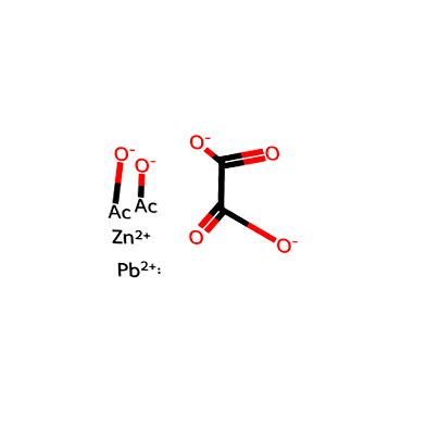 CC(=O)[O-].CC(=O)[O-].O=C([O-])C(=O)[O-].[Pb+2].[Zn+2]